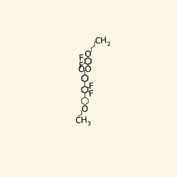 C=CCCCOc1ccc(OC(=O)c2ccc(-c3ccc(C4CCC(OCCCC)CC4)c(F)c3F)cc2)c(F)c1F